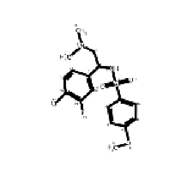 CN(C)CC(NS(=O)(=O)c1ccc(OC(F)(F)F)cc1)c1ccc(Cl)c(F)c1